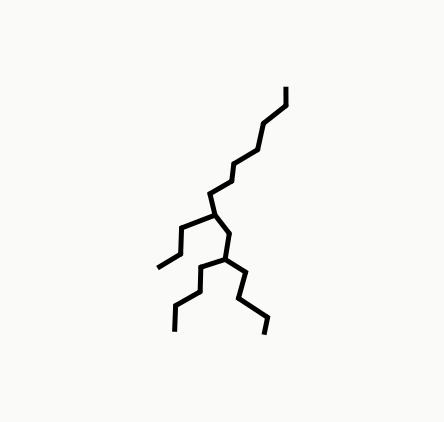 CCCCCCCC(CCC)CC(CCCC)CCCC